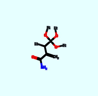 C=C(C(N)=O)C(CC)[Si](OCC)(OCC)OCC